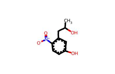 CC(O)Cc1cc(O)ccc1[N+](=O)[O-]